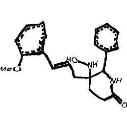 COc1ccccc1C=CCC1(NO)CCC(=O)NC1c1ccccc1